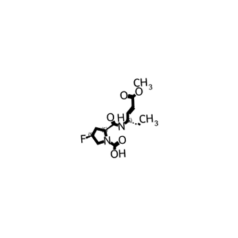 CC[C@@H](C=CC(=O)OC)NC(=O)[C@@H]1C[C@H](F)CN1C(=O)O